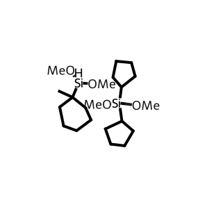 CO[SiH](OC)C1(C)CCCCC1.CO[Si](OC)(C1CCCC1)C1CCCC1